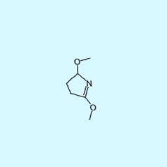 COC1=NC(OC)CC1